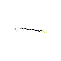 CCCCCCCCC/C=C/CS